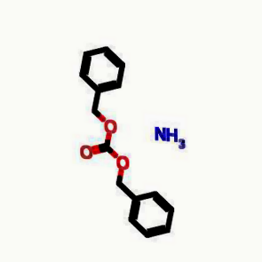 N.O=C(OCc1ccccc1)OCc1ccccc1